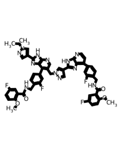 COc1ccc(F)cc1C(=O)NCc1ccc(-c2ccnc3[nH]c(-c4cnn(Cc5cnc6[nH]c(-c7cnn(C(C)C)c7)nc6c5-c5ccc(CNC(=O)c6cc(F)ccc6OC)c(F)c5)c4)nc23)cc1F